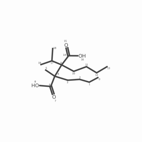 CCCCC(C)(C(=O)O)C(CCCC)(C(=O)O)C(C)C